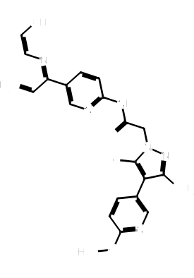 C=C/C(=N\C=C/C)c1ccc(NC(=O)Cn2nc(C)c(-c3ccc(OC)nc3)c2C)nc1